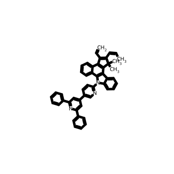 C=CC1=C(/C=C\C)C(C)(C)c2c1c1ccccc1c1c2c2ccccc2n1-c1ccc(-c2cc(-c3ccccc3)nc(-c3ccccc3)c2)cn1